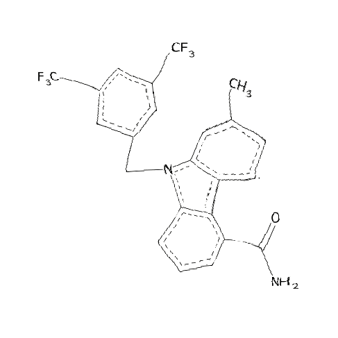 Cc1c[c]c2c3c(C(N)=O)cccc3n(Cc3cc(C(F)(F)F)cc(C(F)(F)F)c3)c2c1